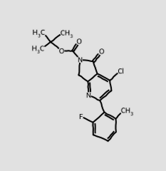 Cc1cccc(F)c1-c1cc(Cl)c2c(n1)CN(C(=O)OC(C)(C)C)C2=O